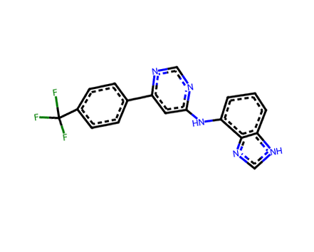 FC(F)(F)c1ccc(-c2cc(Nc3cccc4[nH]cnc34)ncn2)cc1